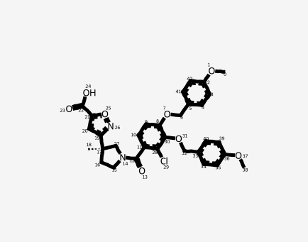 COc1ccc(COc2ccc(C(=O)N3CC[C@@](C)(c4cc(C(=O)O)on4)C3)c(Cl)c2OCc2ccc(OC)cc2)cc1